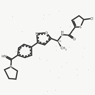 C[C@H](NC(=O)C1=CCC(Cl)S1)c1cc(-c2ccc(C(=N)N3CCCC3)cc2)no1